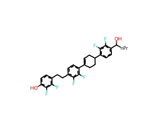 CCCC(O)c1ccc(C2CC=C(c3ccc(CCc4ccc(O)c(F)c4F)c(F)c3F)CC2)c(F)c1F